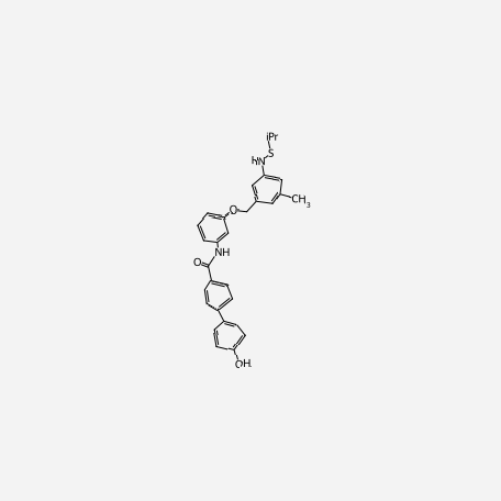 Cc1cc(COc2cccc(NC(=O)c3ccc(-c4ccc(O)cc4)cc3)c2)cc(NSC(C)C)c1